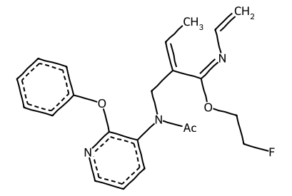 C=C/N=C(OCCF)\C(=C/C)CN(C(C)=O)c1cccnc1Oc1ccccc1